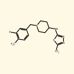 Fc1cc(CN2CCC(Nc3nnc(C(F)(F)F)s3)CC2)ccc1C(F)(F)F